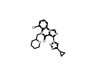 O=c1c2c(-n3cc(C4CC4)nn3)ncn2c2cccc(Cl)c2n1CC1CCCCO1